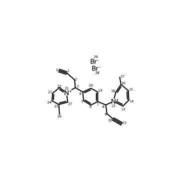 C#CCC(c1ccc(C(CC#C)[n+]2cccc(C)c2)cc1)[n+]1cccc(C)c1.[Br-].[Br-]